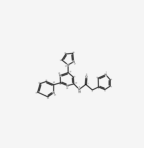 O=C(Cc1cccnc1)Nc1cc(-n2cccn2)nc(-c2ccccn2)n1